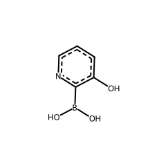 OB(O)c1ncccc1O